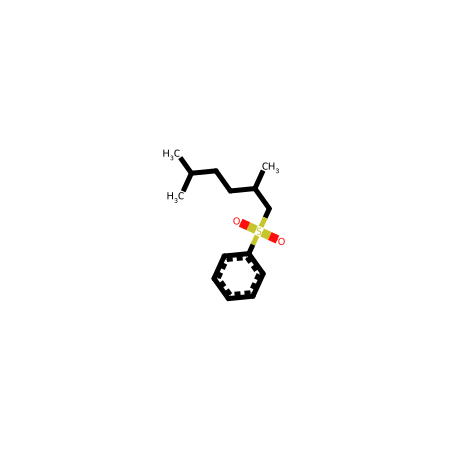 CC(C)CCC(C)CS(=O)(=O)c1ccccc1